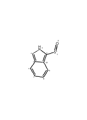 O=[S+]c1[nH]cc2ccccc12